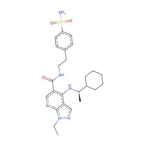 CCn1ncc2c(N[C@H](C)C3CCCCC3)c(C(=O)NCCc3ccc(S(N)(=O)=O)cc3)cnc21